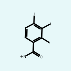 [NH]C(=O)c1ccc(I)c(I)c1I